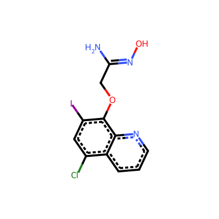 NC(COc1c(I)cc(Cl)c2cccnc12)=NO